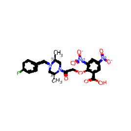 C[C@@H]1CN(Cc2ccc(F)cc2)[C@@H](C)CN1C(=O)COc1c(C(=O)O)cc([N+](=O)[O-])cc1[N+](=O)[O-]